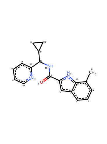 Cc1cccc2cc(C(=O)NC(c3ccccn3)C3CC3)[nH]c12